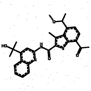 COC(C)c1ccc(C(C)=O)c2sc(C(=O)Nc3cc(C(C)(C)O)c4ccccc4n3)c(C)c12